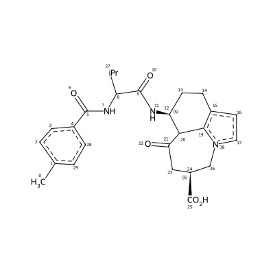 Cc1ccc(C(=O)NC(C(=O)N[C@H]2CCc3ccn4c3C2C(=O)C[C@H](C(=O)O)C4)C(C)C)cc1